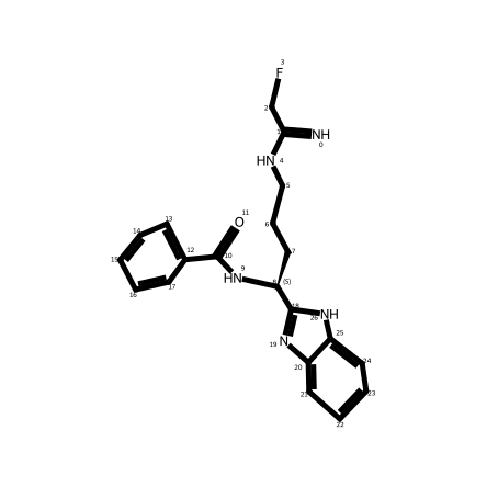 N=C(CF)NCCC[C@H](NC(=O)c1ccccc1)c1nc2ccccc2[nH]1